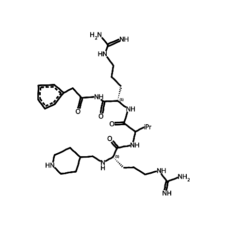 CC(C)C(NC(=O)[C@H](CCCNC(=N)N)NCC1CCNCC1)C(=O)N[C@@H](CCCNC(=N)N)C(=O)NC(=O)Cc1ccccc1